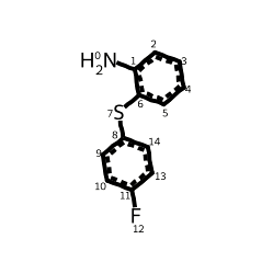 Nc1ccccc1Sc1ccc(F)cc1